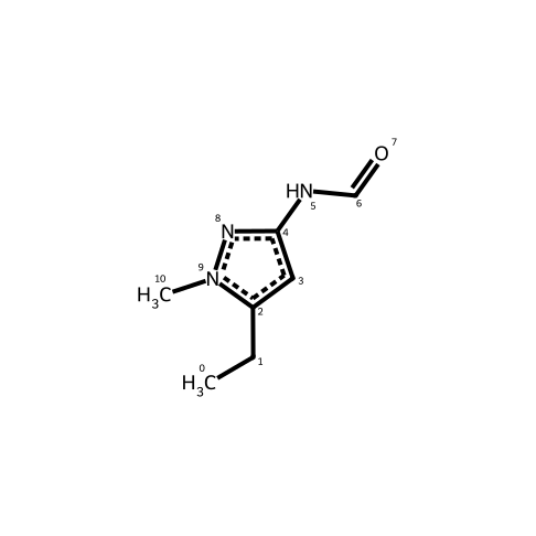 CCc1cc(NC=O)nn1C